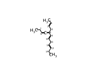 CC=CCC(=C=CCC)C=CCC=CCC